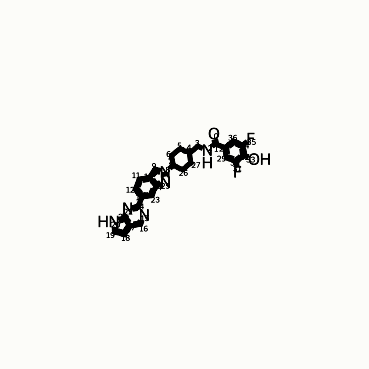 O=C(NCC1CCC(n2cc3ccc(-c4ncc5cc[nH]c5n4)cc3n2)CC1)c1cc(F)c(O)c(F)c1